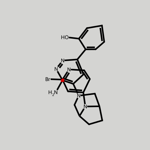 Nc1nnc(-c2ccccc2O)cc1N1CC2CCC(C1)N2c1ccnc(Br)c1